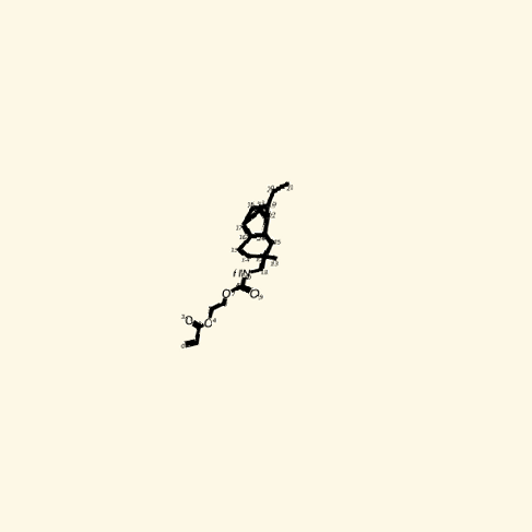 C=CC(=O)OCCOC(=O)NCC1(C)CCC2C3CC(CC)C(C3)C2C1